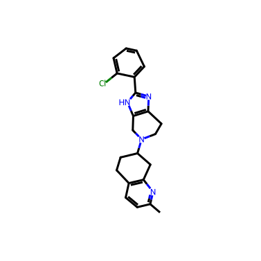 Cc1ccc2c(n1)CC(N1CCc3nc(-c4ccccc4Cl)[nH]c3C1)CC2